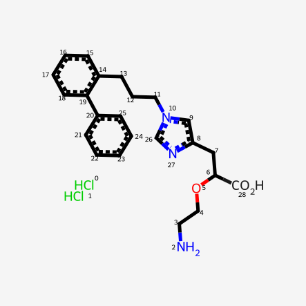 Cl.Cl.NCCOC(Cc1cn(CCCc2ccccc2-c2ccccc2)cn1)C(=O)O